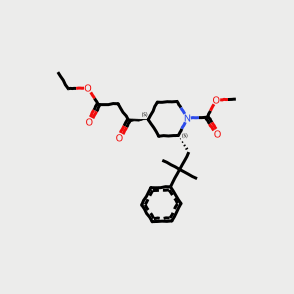 CCOC(=O)CC(=O)[C@H]1CCN(C(=O)OC)[C@H](CC(C)(C)c2ccccc2)C1